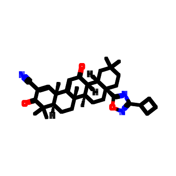 CC1(C)CC[C@]2(c3nc(C4CCC4)no3)CC[C@]3(C)[C@H](C(=O)C=C4[C@@]5(C)C=C(C#N)C(=O)C(C)(C)[C@@H]5CC[C@]43C)[C@@H]2C1